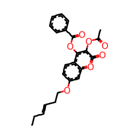 CC/C=C/CCOc1ccc2c(OC(=O)c3ccccc3)c(OC(C)=O)c(=O)oc2c1